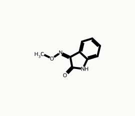 CO/N=C1\C(=O)Nc2ccccc21